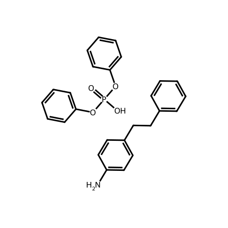 Nc1ccc(CCc2ccccc2)cc1.O=P(O)(Oc1ccccc1)Oc1ccccc1